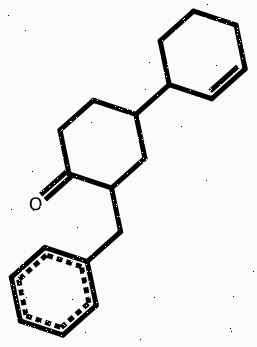 O=C1CCC(C2C=CCCC2)CC1Cc1ccccc1